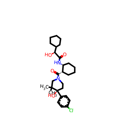 CC1(C)CN(C(=O)[C@H]2CCCC[C@H]2NC(=O)[C@@H](O)C2CCCCC2)CC[C@]1(O)c1ccc(Cl)cc1